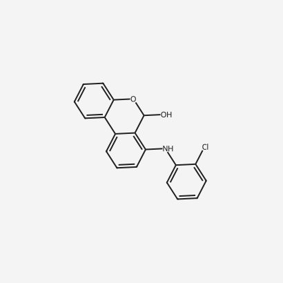 OC1Oc2ccccc2-c2cccc(Nc3ccccc3Cl)c21